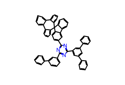 c1ccc(-c2cccc(-c3nc(-c4cc(-c5ccccc5)cc(-c5ccccc5)c4)nc(-c4ccc5c(c4)-c4ccccc4C54c5ccccc5-c5ccccc5-c5ccccc54)n3)c2)cc1